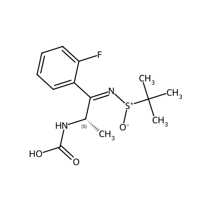 C[C@H](NC(=O)O)C(=N[S+]([O-])C(C)(C)C)c1ccccc1F